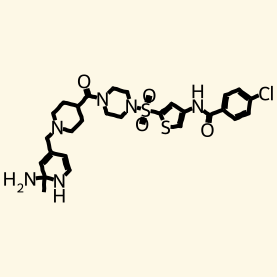 CC1(N)C=C(CN2CCC(C(=O)N3CCN(S(=O)(=O)c4cc(NC(=O)c5ccc(Cl)cc5)cs4)CC3)CC2)C=CN1